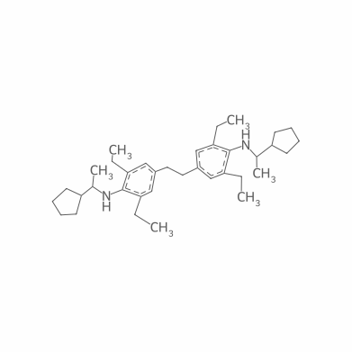 CCc1cc(CCc2cc(CC)c(NC(C)C3CCCC3)c(CC)c2)cc(CC)c1NC(C)C1CCCC1